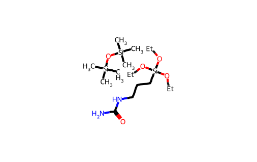 CCO[Si](CCCNC(N)=O)(OCC)OCC.C[Si](C)(C)O[Si](C)(C)C